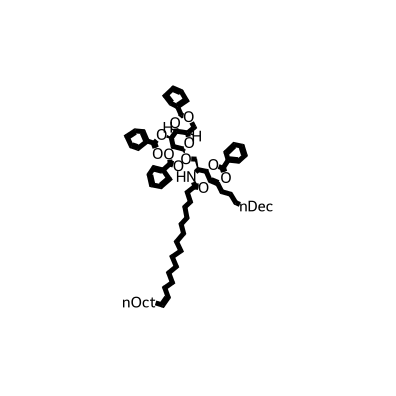 CCCCCCCC/C=C\CCCCCCCCCCCCCC(=O)N[C@@H](CO[C@H]1O[C@@H]2COC(c3ccccc3)O[C@@H]2[C@H](OC(=O)c2ccccc2)[C@H]1OC(=O)c1ccccc1)[C@@H](/C=C/CCCCCCCCCCCCC)OC(=O)c1ccccc1